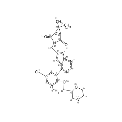 Cc1cc(Cl)cc(-c2ncnn3cc(CN4C(=O)C5C(C4=O)C5(C)C)cc23)c1OCC1CNCCO1